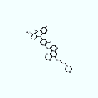 NC(=O)C1(C(=O)N(c2ccc(F)cc2)c2ccc(Oc3ccnc4cc(OCCCN5CCOCC5)c5c(c34)OCCO5)c(F)c2)CC1